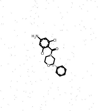 Nc1cc(Cl)c(C(=O)N2CCO[C@@H](c3ccccc3)C2)c(Cl)c1